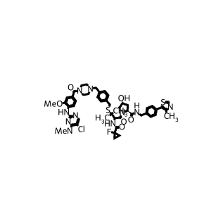 CNc1nc(Nc2ccc(C(=O)N3CCN(Cc4ccc(CSC(C)(C)C(NC(=O)C5(F)CC5)C(=O)N5C[C@H](O)C[C@H]5C(=O)NCc5ccc(-c6scnc6C)cc5)cc4)CC3)cc2OC)ncc1Cl